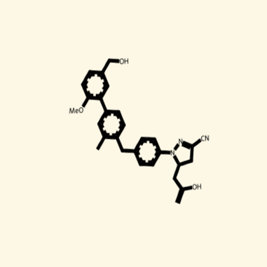 C=C(O)CC1CC(C#N)=NN1c1ccc(Cc2ccc(-c3cc(CO)ccc3OC)cc2C)cc1